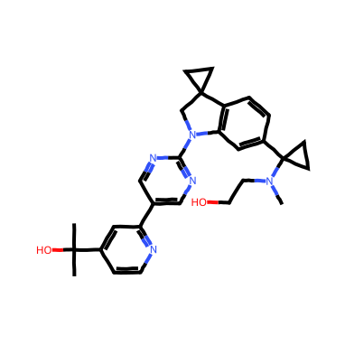 CN(CCO)C1(c2ccc3c(c2)N(c2ncc(-c4cc(C(C)(C)O)ccn4)cn2)CC32CC2)CC1